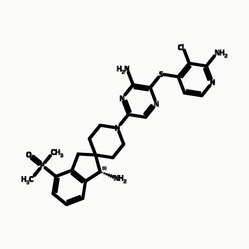 CP(C)(=O)c1cccc2c1CC1(CCN(c3cnc(Sc4ccnc(N)c4Cl)c(N)n3)CC1)[C@@H]2N